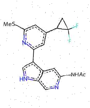 CSc1cc(C2CC2(F)F)cc(-c2c[nH]c3cnc(NC(C)=O)cc23)n1